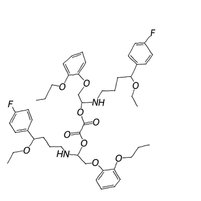 CCCOc1ccccc1OCC(NCCCC(OCC)c1ccc(F)cc1)OC(=O)C(=O)OC(COc1ccccc1OCCC)NCCCC(OCC)c1ccc(F)cc1